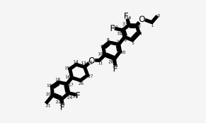 CCOc1ccc(-c2ccc(COC3CCC(c4ccc(C)c(F)c4F)CC3)c(F)c2)c(F)c1F